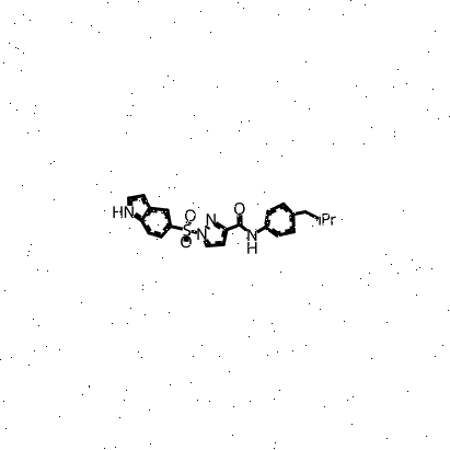 CC(C)Cc1ccc(NC(=O)c2ccn(S(=O)(=O)c3ccc4[nH]ccc4c3)n2)cc1